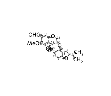 C=C(C)C1Cc2c(ccc3c2OC2COc4cc(C=O)c(OC)cc4C2(CO)C3=O)O1